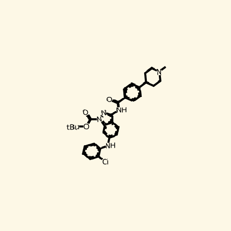 CN1CCC(c2ccc(C(=O)Nc3nn(C(=O)OC(C)(C)C)c4cc(Nc5ccccc5Cl)ccc34)cc2)CC1